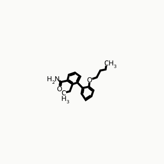 CCCCOc1ccccc1-c1cccc(C(N)=O)c1CC